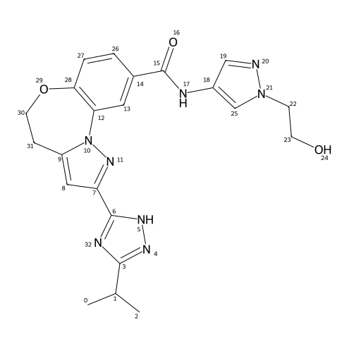 CC(C)c1n[nH]c(-c2cc3n(n2)-c2cc(C(=O)Nc4cnn(CCO)c4)ccc2OCC3)n1